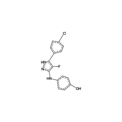 Oc1ccc(Nc2n[nH]c(-c3ccc(Cl)cc3)c2F)cc1